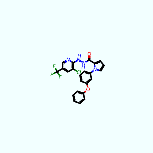 O=C(NNc1ncc(C(F)(F)F)cc1Cl)c1cccn1-c1cccc(Oc2ccccc2)c1